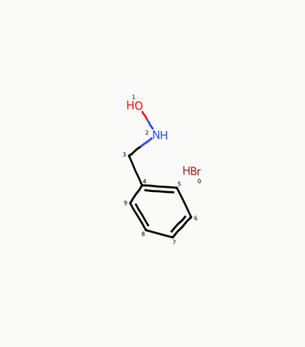 Br.ONCc1ccccc1